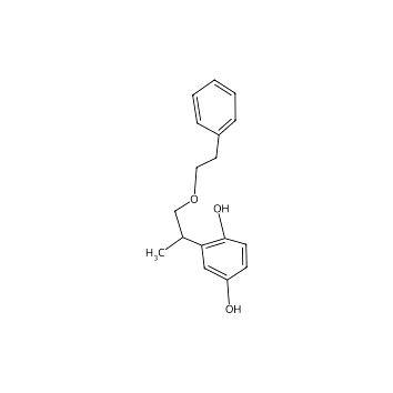 CC(COCCc1ccccc1)c1cc(O)ccc1O